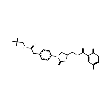 N=C(Cc1ccc(N2CC(CNC(=O)C3=CC(Cl)=CCC3=S)OC2=O)cc1)NCC(F)(F)F